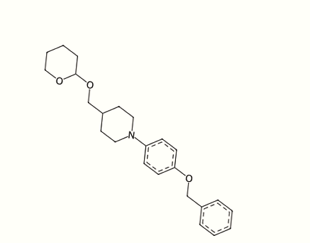 c1ccc(COc2ccc(N3CCC(COC4CCCCO4)CC3)cc2)cc1